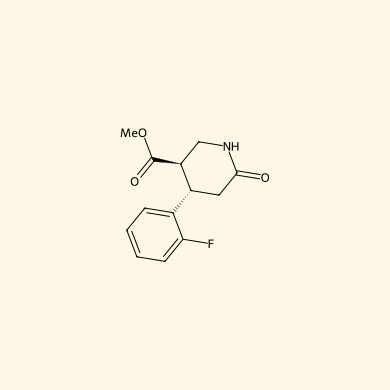 COC(=O)[C@H]1CNC(=O)C[C@@H]1c1ccccc1F